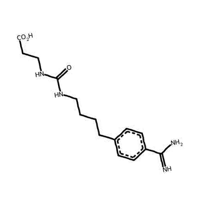 N=C(N)c1ccc(CCCCNC(=O)NCCC(=O)O)cc1